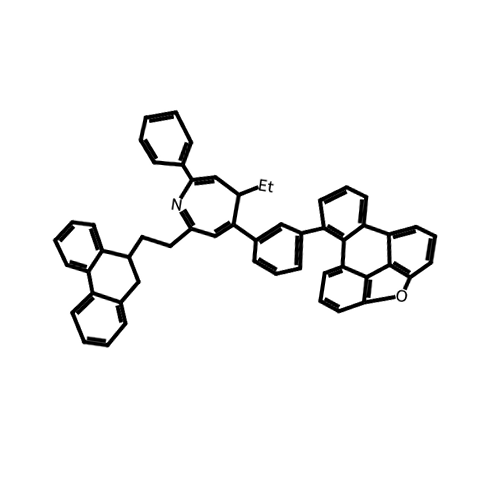 CCC1C=C(c2ccccc2)N=C(CCC2Cc3ccccc3-c3ccccc32)C=C1c1cccc(-c2cccc3c4cccc5oc6cccc(c23)c6c54)c1